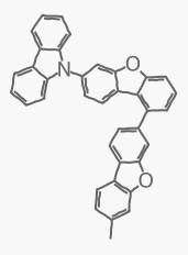 Cc1ccc2c(c1)oc1cc(-c3cccc4oc5cc(-n6c7ccccc7c7ccccc76)ccc5c34)ccc12